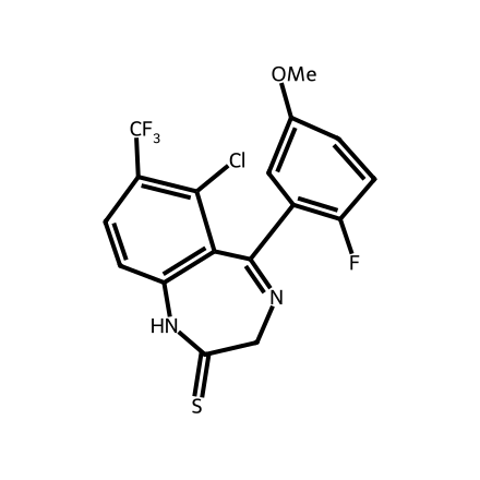 COc1ccc(F)c(C2=NCC(=S)Nc3ccc(C(F)(F)F)c(Cl)c32)c1